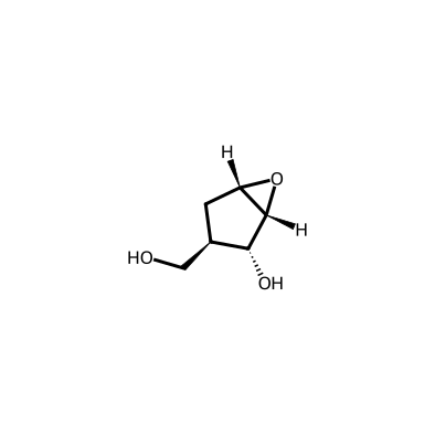 OC[C@H]1C[C@@H]2O[C@@H]2[C@@H]1O